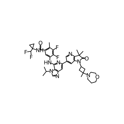 Cc1c(C(=O)NC2(C(F)F)CC2)cc(Nc2nc(-c3cnc4c(c3)N(C3CC(C)(N5CCCOCC5)C3)C(=O)C4(C)C)cc3ncn(C(C)C)c23)c(F)c1F